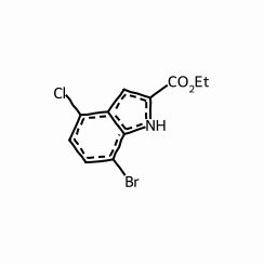 CCOC(=O)c1cc2c(Cl)ccc(Br)c2[nH]1